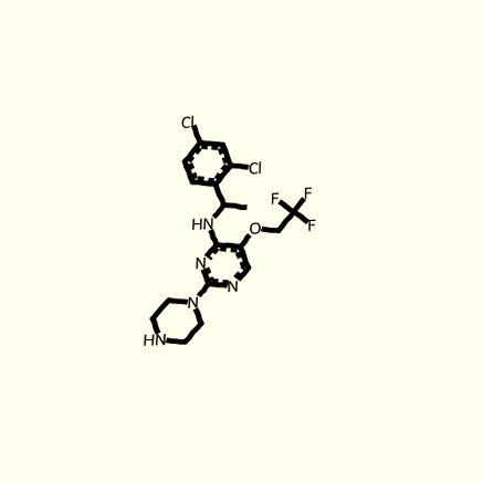 CC(Nc1nc(N2CCNCC2)ncc1OCC(F)(F)F)c1ccc(Cl)cc1Cl